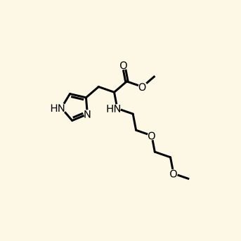 COCCOCCNC(Cc1c[nH]cn1)C(=O)OC